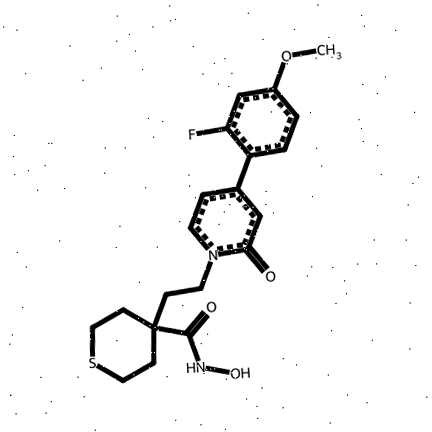 COc1ccc(-c2ccn(CCC3(C(=O)NO)CCSCC3)c(=O)c2)c(F)c1